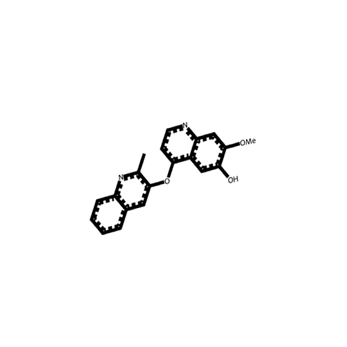 COc1cc2nccc(Oc3cc4ccccc4nc3C)c2cc1O